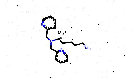 NCCCC[C@@H](C(=O)O)N(Cc1ccccn1)Cc1ccccn1